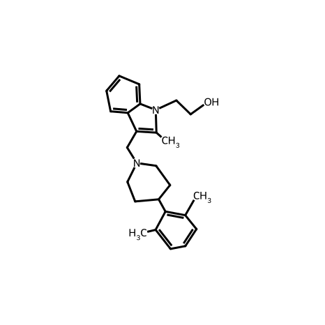 Cc1cccc(C)c1C1CCN(Cc2c(C)n(CCO)c3ccccc23)CC1